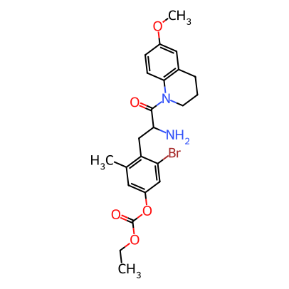 CCOC(=O)Oc1cc(C)c(CC(N)C(=O)N2CCCc3cc(OC)ccc32)c(Br)c1